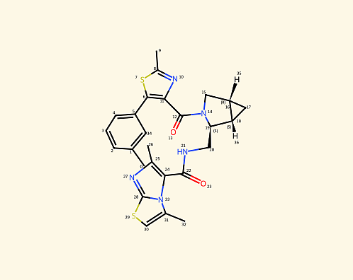 Cc1cccc(-c2sc(C)nc2C(=O)N2C[C@@H]3C[C@@H]3[C@H]2CNC(=O)c2c(C)nc3scc(C)n23)c1